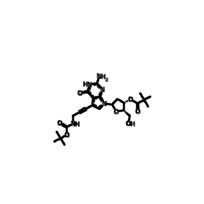 CC(C)(C)OC(=O)NCC#Cc1cn(C2C[C@H](OC(=O)C(C)(C)C)[C@@H](CO)O2)c2nc(N)[nH]c(=O)c12